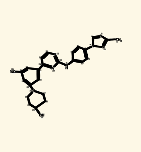 Cc1ncn(-c2ccc(Nc3nccc(-c4cc(C#N)cc(N5CCC(O)CC5)c4)n3)cc2)n1